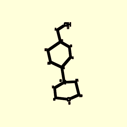 OCC1CCC(N2CCOCC2)CC1